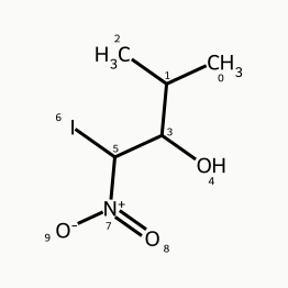 CC(C)C(O)C(I)[N+](=O)[O-]